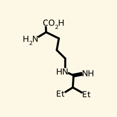 CCC(CC)C(=N)NCCCC(N)C(=O)O